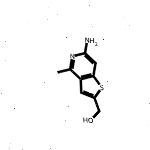 Cc1nc(N)cc2sc(CO)cc12